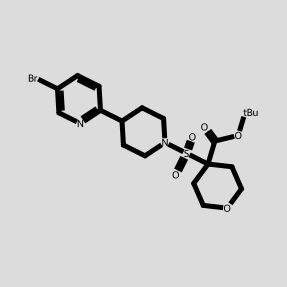 CC(C)(C)OC(=O)C1(S(=O)(=O)N2CCC(c3ccc(Br)cn3)CC2)CCOCC1